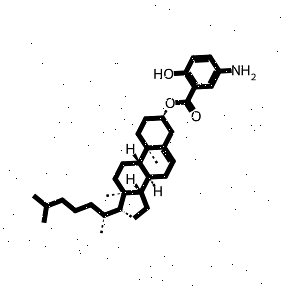 CC(C)CCC[C@@H](C)[C@H]1CC[C@H]2[C@@H]3CC=C4C[C@@H](OC(=O)c5cc(N)ccc5O)CC[C@]4(C)[C@H]3CC[C@]12C